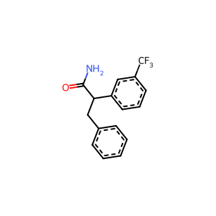 NC(=O)C(Cc1ccccc1)c1cccc(C(F)(F)F)c1